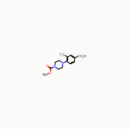 CCOC(=O)c1ccc(N2CCN(C(=O)OC(C)(C)C)CC2)c(C(F)(F)F)c1